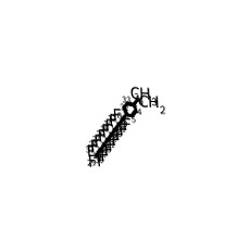 [CH2]C(C)c1ccc(C(F)(F)C(F)(F)C(F)(F)C(F)(F)C(F)(F)C(F)(F)C(F)(F)C(F)(F)F)cc1